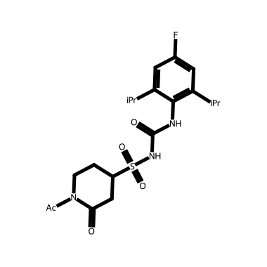 CC(=O)N1CCC(S(=O)(=O)NC(=O)Nc2c(C(C)C)cc(F)cc2C(C)C)CC1=O